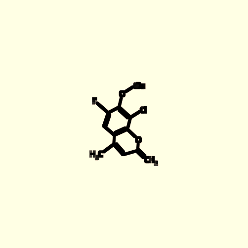 C=C1C=C(C)c2cc(F)c(OC(C)(C)C)c(Cl)c2O1